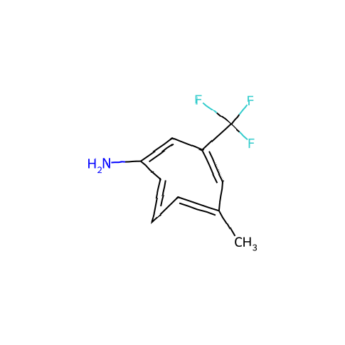 CC1=C\C=C\C(N)=C/C(C(F)(F)F)=C\1